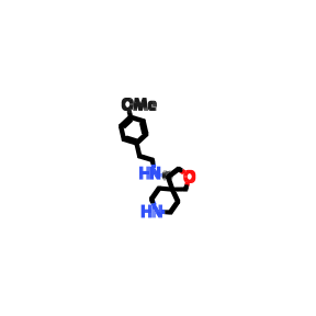 COc1ccc(CCN[C@@H]2COCC23CCNCC3)cc1